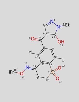 CCn1ncc(C(=O)c2cc(C)c3c(c2C)C(=NOC(C)C)CCS3(=O)=O)c1O